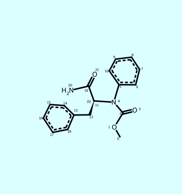 COC(=O)N(c1ccccc1)[C@@H](Cc1ccccc1)C(N)=O